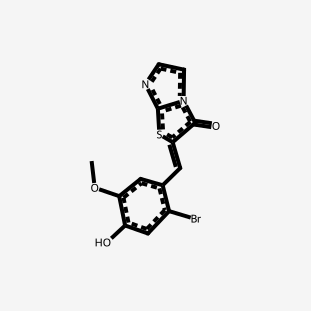 COc1cc(/C=c2\sc3nccn3c2=O)c(Br)cc1O